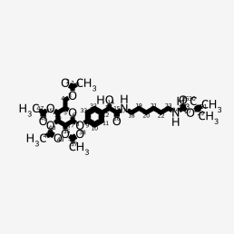 CC(=O)OCC1OC(Oc2ccc(C(O)C(=O)NCCCCCCNC(=O)OC(C)(C)C)cc2)C(OC(C)=O)C(OC(C)=O)C1OC(C)=O